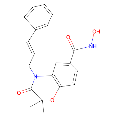 CC1(C)Oc2ccc(C(=O)NO)cc2N(CC=Cc2ccccc2)C1=O